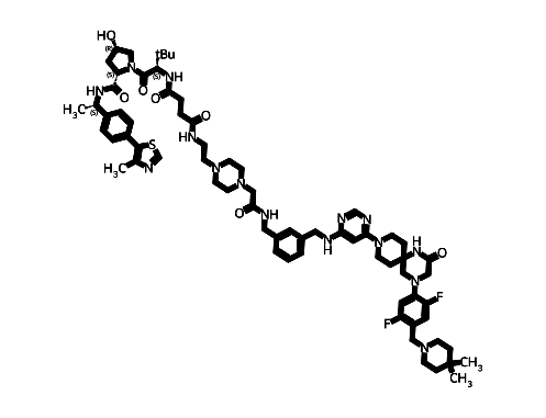 Cc1ncsc1-c1ccc([C@H](C)NC(=O)[C@@H]2C[C@@H](O)CN2C(=O)[C@@H](NC(=O)CCC(=O)NCCN2CCN(CC(=O)NCc3cccc(CNc4cc(N5CCC6(CC5)CN(c5cc(F)c(CN7CCC(C)(C)CC7)cc5F)CC(=O)N6)ncn4)c3)CC2)C(C)(C)C)cc1